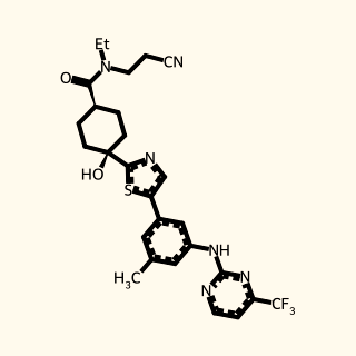 CCN(CCC#N)C(=O)[C@H]1CC[C@](O)(c2ncc(-c3cc(C)cc(Nc4nccc(C(F)(F)F)n4)c3)s2)CC1